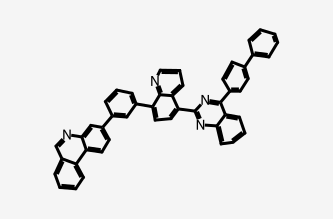 c1ccc(-c2ccc(-c3nc(-c4ccc(-c5cccc(-c6ccc7c(c6)ncc6ccccc67)c5)c5ncccc45)nc4ccccc34)cc2)cc1